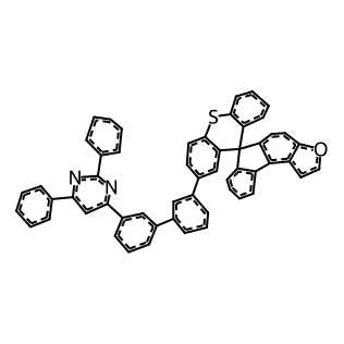 c1ccc(-c2cc(-c3cccc(-c4cccc(-c5ccc6c(c5)C5(c7ccccc7S6)c6ccccc6-c6c5ccc5occc65)c4)c3)nc(-c3ccccc3)n2)cc1